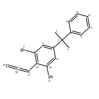 CC(C)c1cc(C(C)(C)c2ccccc2)cc(C(C)C)c1N=C=O